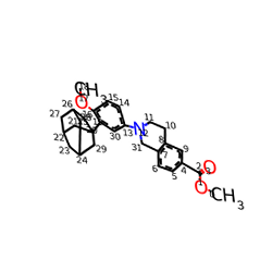 COC(=O)c1ccc2c(c1)CCN(c1ccc(OC)c(C34CC5CC(CC(C5)C3)C4)c1)C2